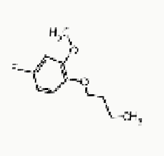 CCCCOc1ccc(F)cc1OC